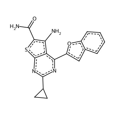 NC(=O)c1sc2nc(C3CC3)nc(-c3cc4ccccc4o3)c2c1N